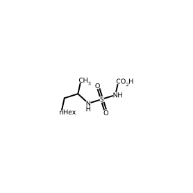 CCCCCCCC(C)NS(=O)(=O)NC(=O)O